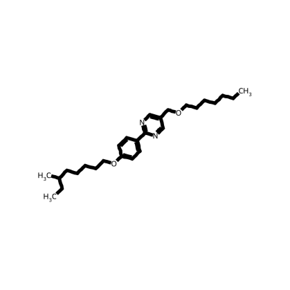 CCCCCCCOCc1cnc(-c2ccc(OCCCCCC(C)CC)cc2)nc1